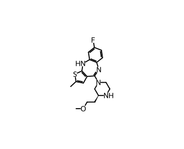 COCC[C@H]1CN(C2=Nc3ccc(F)cc3Nc3sc(C)cc32)CCN1